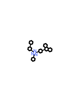 c1ccc(-c2cccc(-c3nc(-c4ccccc4)nc(-c4ccc(-c5cc6ccccc6c6ccccc56)cc4)n3)c2)cc1